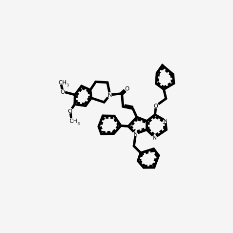 COc1cc2c(cc1OC)CN(C(=O)/C=C/c1c(-c3ccccc3)n(Cc3ccccc3)c3ncnc(OCc4ccccc4)c13)CC2